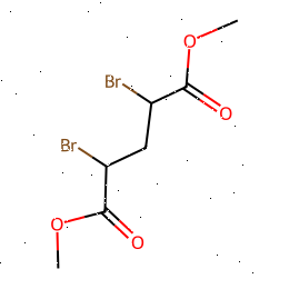 COC(=O)C(Br)CC(Br)C(=O)OC